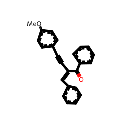 COc1ccc(C#CC(=Cc2ccccc2)C(=O)c2ccccc2)cc1